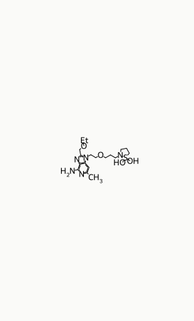 CCOCc1nc2c(N)nc(C)cc2n1CCOCCCN1CCCS1(O)O